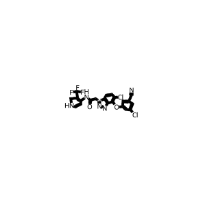 N#Cc1cc(Cl)cc(Oc2c(Cl)ccc3c2nnn3CC(=O)NC2=C(C(F)(F)F)CNC=C2)c1